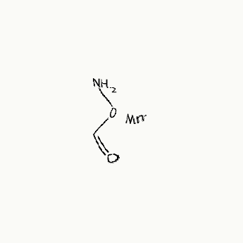 NOC=O.[Mn]